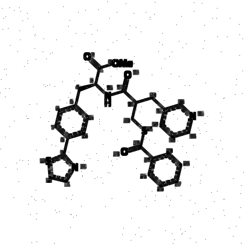 COC(=O)[C@H](Cc1ccc(-c2nccs2)cc1)NC(=O)C(CSC(=O)c1ccccc1)Cc1cccnc1